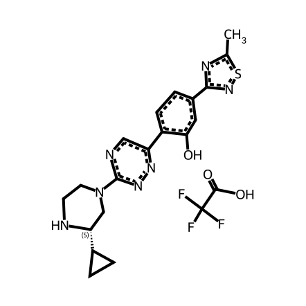 Cc1nc(-c2ccc(-c3cnc(N4CCN[C@@H](C5CC5)C4)nn3)c(O)c2)ns1.O=C(O)C(F)(F)F